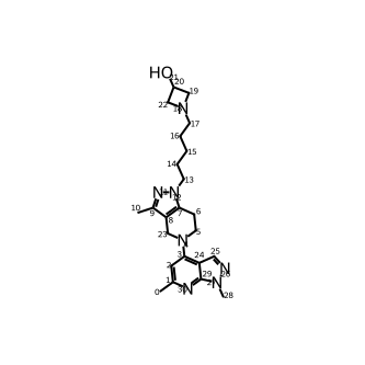 Cc1cc(N2CCc3c(c(C)nn3CCCCCN3CC(O)C3)C2)c2cnn(C)c2n1